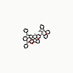 CN1c2ccccc2N(c2ccccc2)C1N(c1ccccc1)c1ccc2c(c1)Sc1cc3c(cc1C21c2ccccc2-c2ccccc21)c1c(N(c2ccccc2)c2ccccc2)cccc1n3-c1ccccc1